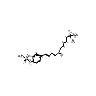 CCN(CCC=Cc1ccc(NS(C)(=O)=O)cc1)CCCCCC(C)(C)O